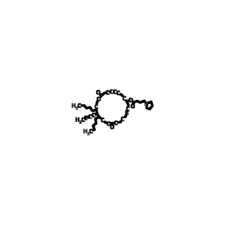 C=C=C=C=C1C(CCCCC)CCOC(=O)CCCCCCCC(OC(=O)CCCN2CCCC2)CCCCCCCC(=O)OCCC1CCCCC